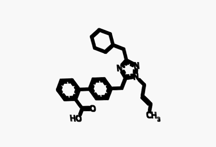 C/C=C/Cn1nc(CC2CCCCC2)nc1Cc1ccc(-c2ccccc2C(=O)O)cc1